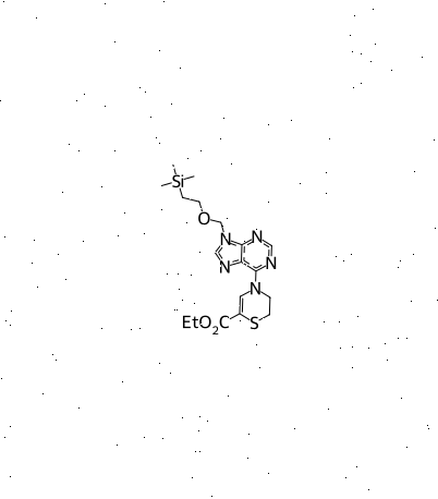 CCOC(=O)C1=CN(c2ncnc3c2ncn3COCC[Si](C)(C)C)CCS1